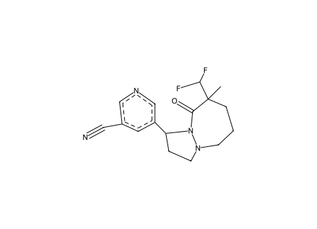 CC1(C(F)F)CCCN2CCC(c3cncc(C#N)c3)N2C1=O